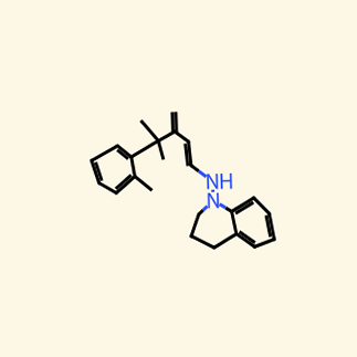 C=C(C=CNN1CCCc2ccccc21)C(C)(C)c1ccccc1C